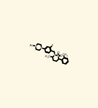 CC(=O)N1CCN(c2ccc(CN3C(C)CCC(c4ccccc4C)S3(=O)=O)c(F)c2)CC1